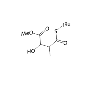 COC(=O)C(O)C(C)C(=O)SC(C)(C)C